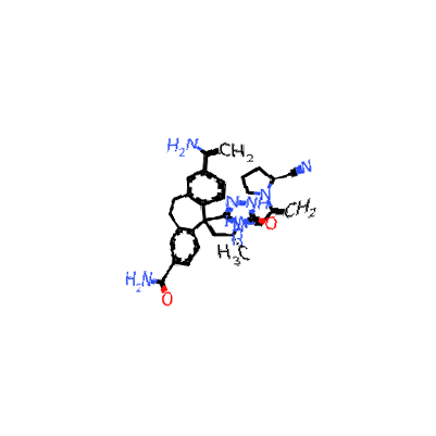 C=C(N)c1ccc2c(c1)CCc1cc(C(N)=O)ccc1C2(C[C@@H](C)NCC(=C)N1CCC[C@H]1C#N)c1n[nH]c(=O)[nH]1